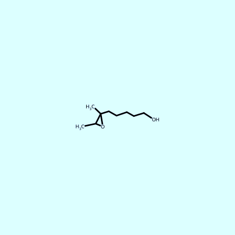 CC1OC1(C)CCCCCO